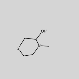 CN1CCSCC1O